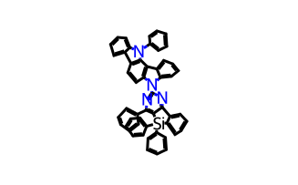 c1ccc(-c2nc(-n3c4ccccc4c4c3ccc3c5ccccc5n(-c5ccccc5)c34)nc3c2[Si](c2ccccc2)(c2ccccc2)c2ccccc2-3)cc1